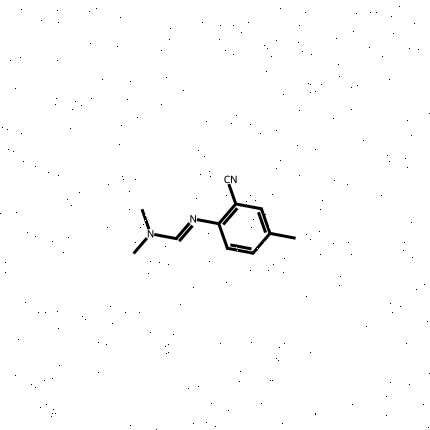 Cc1ccc(/N=C/N(C)C)c(C#N)c1